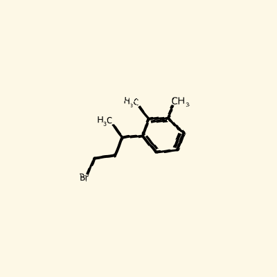 Cc1cccc(C(C)CCBr)c1C